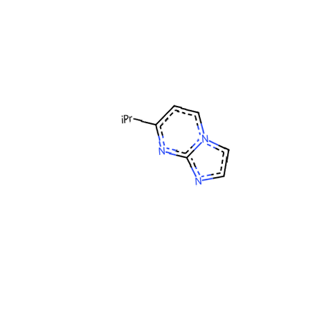 CC(C)c1ccn2ccnc2n1